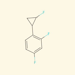 F[C]1CC1c1ccc(F)cc1F